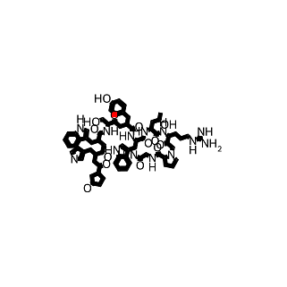 CC(O)CC(NC(=O)C(Cc1c[nH]c2ccccc12)NC(=O)C(CC(=O)C(CO)NC(=O)C(CC(=O)C(CC(=O)C1CCC(=O)C1)CC1=CN=CC1)Cc1c[nH]c2ccccc12)Cc1ccc(O)cc1)C(=O)NC(CCCNC(=N)N)C(=O)CN1CCCC1C(=O)NCC(N)=O